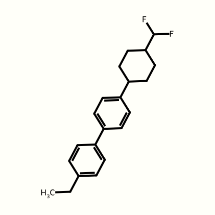 CCc1ccc(-c2ccc(C3CCC(C(F)F)CC3)cc2)cc1